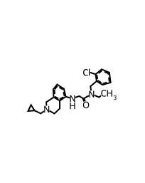 CCN(Cc1ccccc1Cl)C(=O)CNc1cccc2c1CCN(CC1CC1)C2